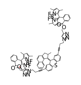 CC1=CC(C)=[N+]2C1=C(c1ccccc1C(=O)OCc1cn(CCC#Cc3ccc4c(c3)C(=C3c5c(ccc6ccccc56)CC3C)c3cc(C#CCCn5cc(COC(=O)c6ccccc6C6=C7C(C)=CC(C)=[N+]7[B-](F)(F)n7c(C)cc(C)c76)nn5)ccc3S4)nn1)c1c(C)cc(C)n1[B-]2(F)F